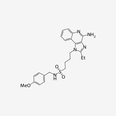 CCc1nc2c(N)nc3ccccc3c2n1CCCCS(=O)(=O)NCc1ccc(OC)cc1